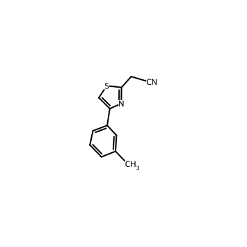 Cc1cccc(-c2csc(CC#N)n2)c1